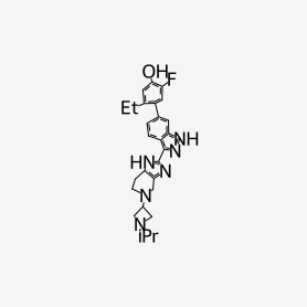 CCc1cc(O)c(F)cc1-c1ccc2c(-c3nc4c([nH]3)CCN(C3CN(C(C)C)C3)C4)n[nH]c2c1